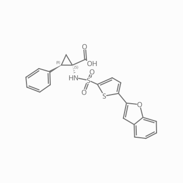 O=C(O)[C@]1(NS(=O)(=O)c2ccc(-c3cc4ccccc4o3)s2)C[C@@H]1c1ccccc1